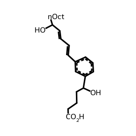 CCCCCCCCC(O)C=CC=Cc1cccc(C(O)CCCC(=O)O)c1